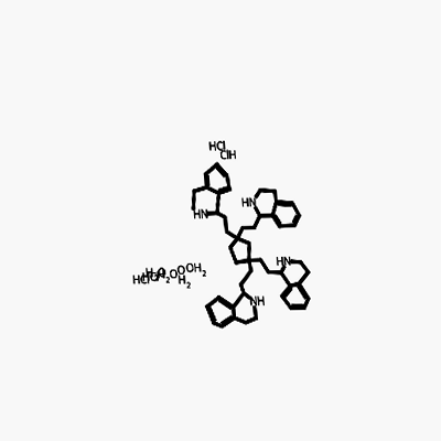 Cl.Cl.Cl.Cl.O.O.O.O.c1ccc2c(c1)CCNC2CCC1(CCC2NCCc3ccccc32)CCC(CCC2NCCc3ccccc32)(CCC2NCCc3ccccc32)C1